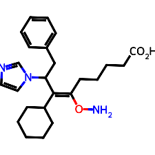 NOC(CCCCC(=O)O)=C(C1CCCCC1)C(Cc1ccccc1)n1ccnc1